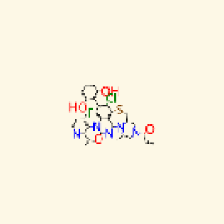 C=CC(=O)N1CC(C)N2c3nc(=O)n(-c4c(C)ccnc4C(C)C)c4c(F)c(-c5c(O)cccc5O)c(Cl)c(c34)SCC2C1